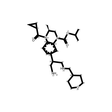 CC(C)OC(=O)N1C[C@H](C)N(C(=O)C2CC2)c2ccc(C(CN)CNCC3CCOCC3)cc21